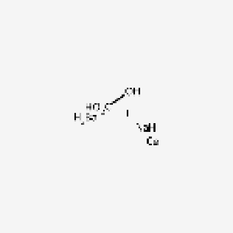 F.O=C(O)O.[BaH2].[Ce].[NaH]